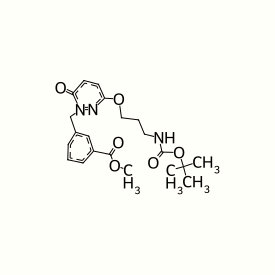 COC(=O)c1cccc(Cn2nc(OCCCNC(=O)OC(C)(C)C)ccc2=O)c1